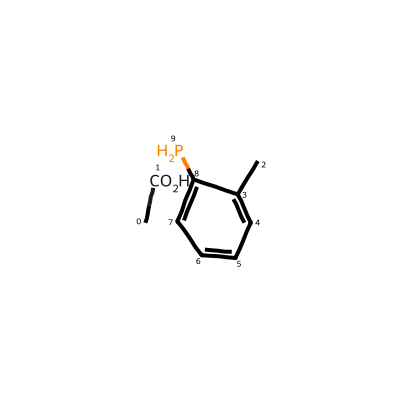 CC(=O)O.Cc1ccccc1P